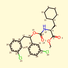 COC(=O)[C@H](CC1CCCCC1)NC(=O)OC(Cc1cccc(Cl)c1)c1cccc(Cl)c1